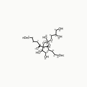 CCCCCCCCCCCCCC(=O)C(OP(=O)(O)OCC(O)CO)(C(=O)CCCCCCCCCCCCC)C(O)CO